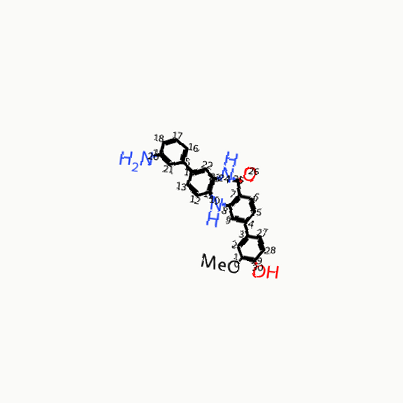 COc1cc(-c2ccc3c(c2)Nc2ccc(-c4cccc(N)c4)cc2NC3=O)ccc1O